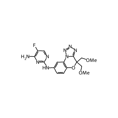 COCC1(COC)Oc2ccc(Nc3ncc(F)c(N)n3)cc2-n2nnnc21